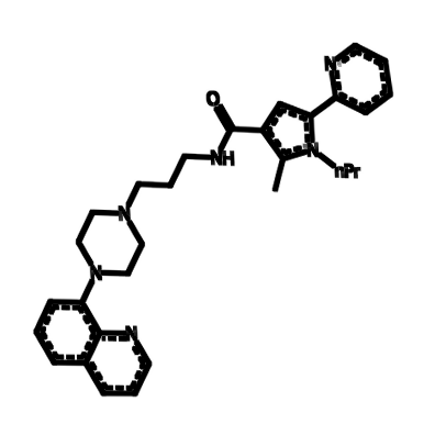 CCCn1c(-c2ccccn2)cc(C(=O)NCCCN2CCN(c3cccc4cccnc34)CC2)c1C